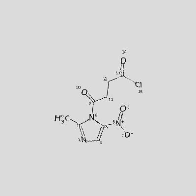 Cc1ncc([N+](=O)[O-])n1C(=O)CCC(=O)Cl